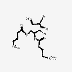 CCCCCCCCCCCCCC(=O)OCC(CO)OC(=O)CCCCCCCCCCCCC.OCC(O)CO